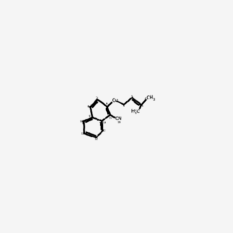 CC(C)=CCOc1ccc2ccccc2c1C#N